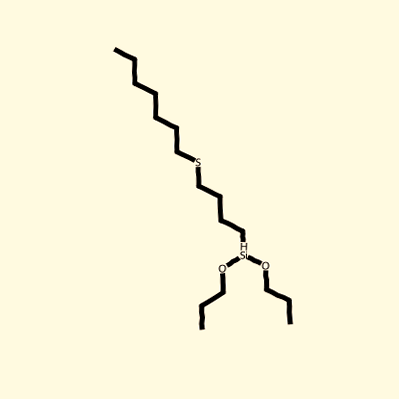 CCCCCCCSCCCC[SiH](OCCC)OCCC